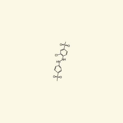 CS(=O)(=O)c1ccc(NNc2ccc(S(C)(=O)=O)cc2Cl)cc1